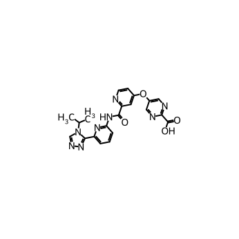 CC(C)n1cnnc1-c1cccc(NC(=O)c2cc(Oc3cnc(C(=O)O)nc3)ccn2)n1